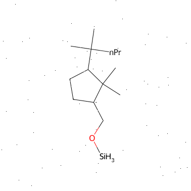 CCCC(C)(C)C1CC[C](CO[SiH3])C1(C)C